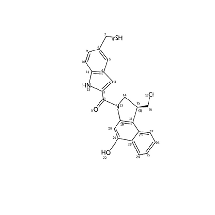 O=C(c1cc2cc(CS)ccc2[nH]1)N1C[C@@H](CCl)c2c1cc(O)c1ccccc21